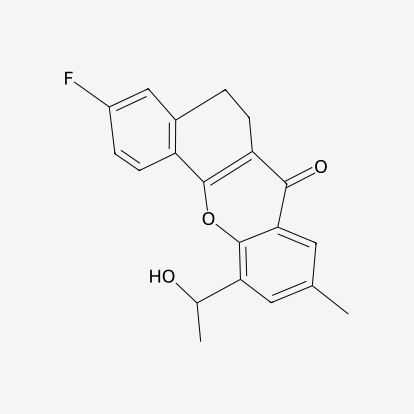 Cc1cc(C(C)O)c2oc3c(c(=O)c2c1)CCc1cc(F)ccc1-3